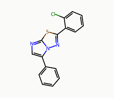 Clc1ccccc1-c1nn2c(-c3ccccc3)cnc2s1